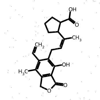 C=Cc1c(C)c2c(c(O)c1CC=C(C)C1CCCC1C(=O)O)C(=O)OC2